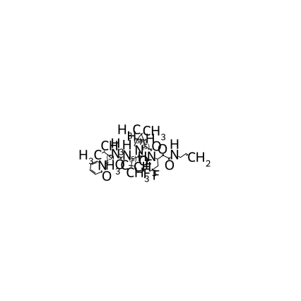 C=CCNC(=O)C(=O)C(CC(F)(F)F)NC(=O)[C@@H]1[C@@H]2[C@H](CN1C(=O)[C@@H](NC(=O)N[C@H](Cn1ccccc1=O)C(C)C)C(C)(C)C)C2(C)C